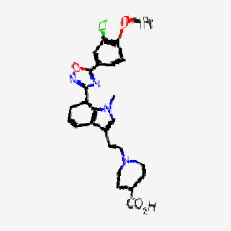 CC(C)Oc1ccc(-c2nc(C3CC=Cc4c(CCN5CCC(C(=O)O)CC5)cn(C)c43)no2)cc1Cl